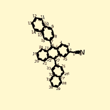 N#Cc1ccc2c(-c3ccc4ccccc4c3)c3ccccc3c(-c3ccc4ccccc4c3)c2c1